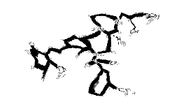 O=S(=O)(c1cccc(C(F)(F)F)c1)N1C[C@@H]2CN(C[C@H](O)CO)CCN2c2ccc(/C=C/c3c(Cl)cccc3C(F)(F)F)cc21